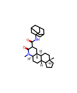 CN1C(=O)C(C(=O)NC23CC4CC(CC(C4)C2)C3)C[C@]2(C)[C@H]3CC[C@]4(C)CCC[C@H]4[C@@H]3CC[C@@H]12